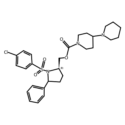 O=C(OC[C@H]1CCC(c2ccccc2)N1S(=O)(=O)c1ccc(Cl)cc1)N1CCC(N2CCCCC2)CC1